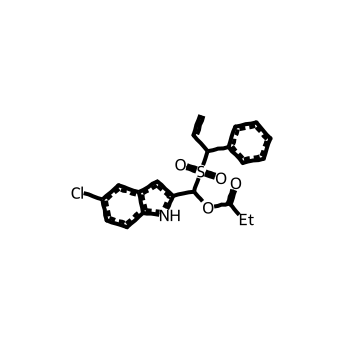 C=CC(c1ccccc1)S(=O)(=O)C(OC(=O)CC)c1cc2cc(Cl)ccc2[nH]1